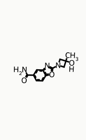 CC1(O)CN(c2nc3cc(C(N)=O)ccc3o2)C1